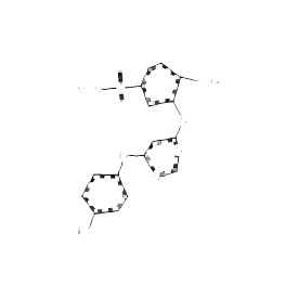 CNS(=O)(=O)c1ccc(SC)c(Nc2cc(Nc3ccc(C(C)C)cc3)ncn2)c1